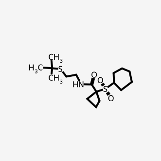 CC(C)(C)SCCNC(=O)C1(S(=O)(=O)C2CCCCC2)CCC1